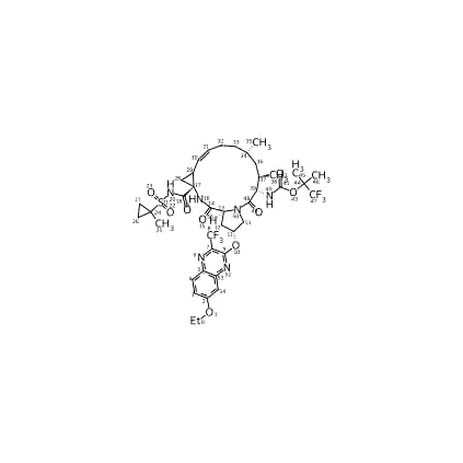 CCOc1ccc2nc(C(F)(F)F)c(O[C@@H]3C[C@H]4C(=O)N[C@]5(C(=O)NS(=O)(=O)C6(C)CC6)CC5/C=C\CC[C@H](C)C[C@@H](C)[C@H](NC(=O)OC(C)(C)C(F)(F)F)C(=O)N4C3)nc2c1